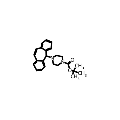 CC(C)(C)OC(=O)N1CCN(C2c3ccccc3C=Cc3ccccc32)CC1